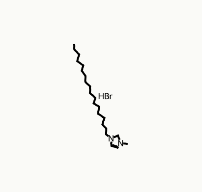 Br.CCCCCCCCCCCCCCCCCCN1C=CN(C)C1